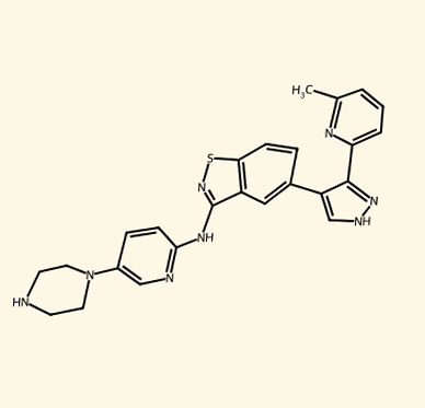 Cc1cccc(-c2n[nH]cc2-c2ccc3snc(Nc4ccc(N5CCNCC5)cn4)c3c2)n1